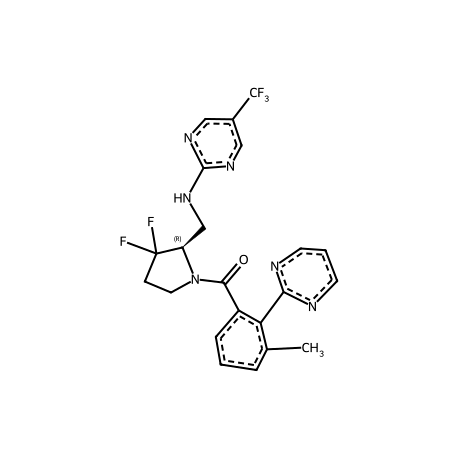 Cc1cccc(C(=O)N2CCC(F)(F)[C@H]2CNc2ncc(C(F)(F)F)cn2)c1-c1ncccn1